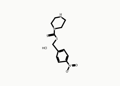 Cl.O=[N+]([O-])c1ccc(CSC(=S)N2CCNCC2)cc1